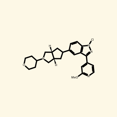 COc1cc(-c2nn(Cl)c3ccc(C4C[C@@H]5CN(C6CCOCC6)C[C@@H]5C4)cc23)ccn1